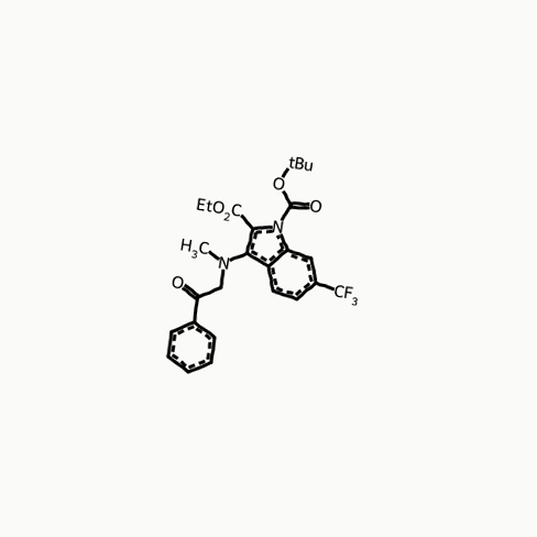 CCOC(=O)c1c(N(C)CC(=O)c2ccccc2)c2ccc(C(F)(F)F)cc2n1C(=O)OC(C)(C)C